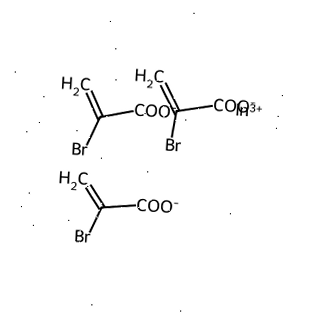 C=C(Br)C(=O)[O-].C=C(Br)C(=O)[O-].C=C(Br)C(=O)[O-].[In+3]